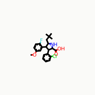 COc1ccc(F)c(C2C(CC(C)(C)C)NC(C(=O)O)C2c2ccccc2Cl)c1